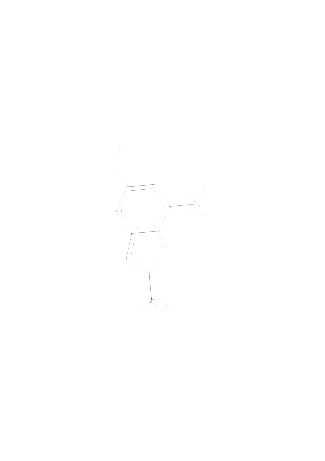 COc1cc([N+](=O)[O-])c2oc(C(=O)O)cc2c1